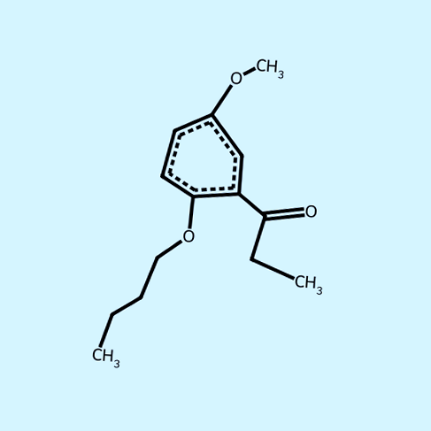 CCCCOc1ccc(OC)cc1C(=O)CC